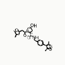 Cc1cc(CC(=O)N2C[C@H](O)C[C@H]2C(=O)NCc2ccc(-c3c(C)noc3C)cc2)on1